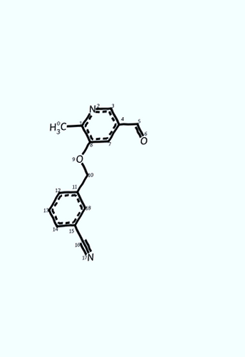 Cc1ncc(C=O)cc1OCc1cccc(C#N)c1